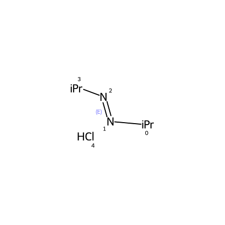 CC(C)/N=N/C(C)C.Cl